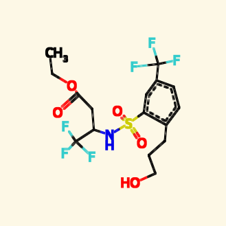 CCOC(=O)CC(NS(=O)(=O)c1cc(C(F)(F)F)ccc1CCCO)C(F)(F)F